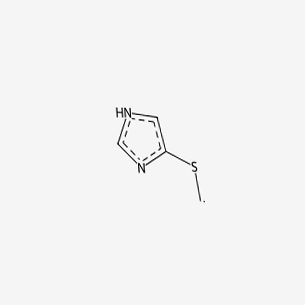 [CH2]Sc1c[nH]cn1